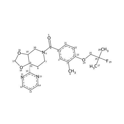 Cc1cc(C(=O)N2CC[C@@]3(c4ncccn4)OCOC3C2)ccc1OCC(C)(C)F